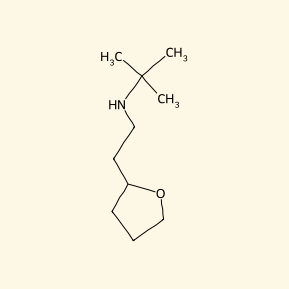 CC(C)(C)NCCC1CCCO1